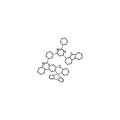 c1ccc(-c2nc(-c3cccc(-c4nc5ccccc5c5cc6c(cc45)Sc4ccccc4C64c5ccccc5-c5ccccc54)c3)cc(-c3cccc4c3sc3ccccc34)n2)cc1